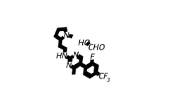 Cc1nc(NCCC2CCCN2C)ncc1-c1ccc(C(F)(F)F)cc1F.O=CO